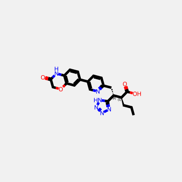 CCC[C@H](C(=O)O)[C@@H](Cc1ccc(-c2ccc3c(c2)OCC(=O)N3)cn1)c1nnn[nH]1